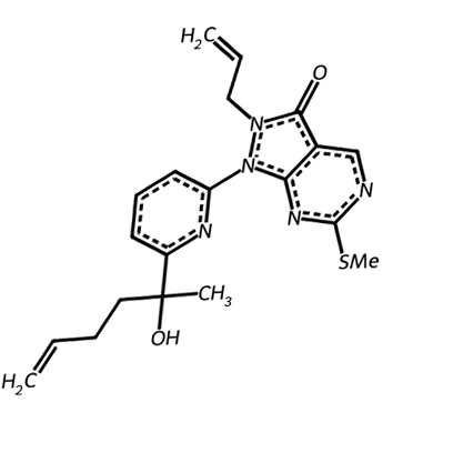 C=CCCC(C)(O)c1cccc(-n2c3nc(SC)ncc3c(=O)n2CC=C)n1